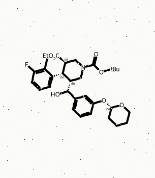 CCOC(=O)[C@H]1CN(C(=O)OC(C)(C)C)C[C@H](C(O)c2cccc(O[C@H]3CCCCO3)c2)[C@@H]1c1cccc(F)c1C